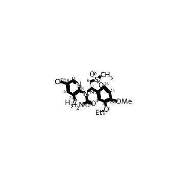 CCOc1cc([C@@H](CS(C)(=O)=O)N(C(N)=O)c2ncc(Cl)cc2C)ccc1OC